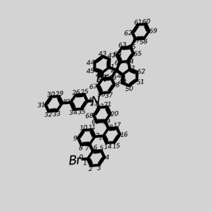 Brc1ccccc1-c1ccccc1-c1ccccc1-c1ccc(N(c2ccc(-c3ccccc3)cc2)c2ccc(C3(c4ccccc4Br)c4ccccc4-c4cc(-c5ccccc5)ccc43)cc2)cc1